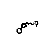 C[C@@H]1CCCN1CCc1cc2ccc(C3=CCCCCC3)cc2o1